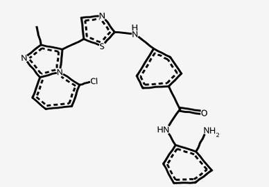 Cc1nc2cccc(Cl)n2c1-c1cnc(Nc2ccc(C(=O)Nc3ccccc3N)cc2)s1